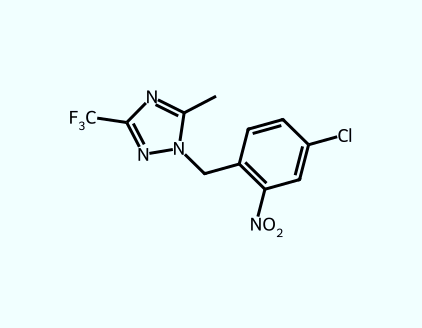 Cc1nc(C(F)(F)F)nn1Cc1ccc(Cl)cc1[N+](=O)[O-]